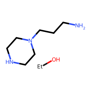 CCO.NCCCN1CCNCC1